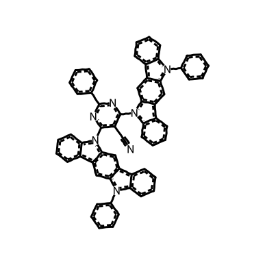 N#Cc1c(-n2c3ccccc3c3cc4c(cc32)c2ccccc2n4-c2ccccc2)nc(-c2ccccc2)nc1-n1c2ccccc2c2cc3c(cc21)c1ccccc1n3-c1ccccc1